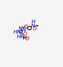 C=CC(=O)Nc1cccc(Oc2cnc3[nH]cc(C(=O)N[C@H](C)COC)c3n2)c1